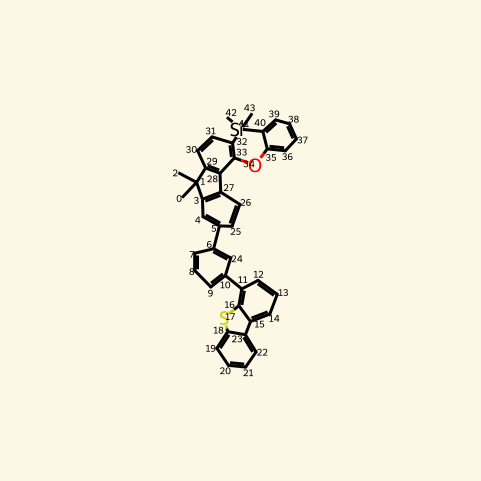 CC1(C)c2cc(-c3cccc(-c4cccc5c4sc4ccccc45)c3)ccc2-c2c1ccc1c2Oc2ccccc2[Si]1(C)C